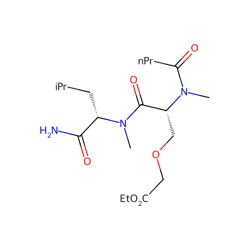 CCCC(=O)N(C)[C@H](COCC(=O)OCC)C(=O)N(C)[C@@H](CC(C)C)C(N)=O